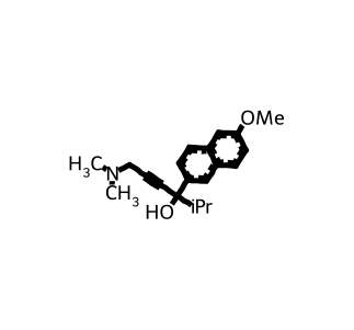 COc1ccc2cc(C(O)(C#CCN(C)C)C(C)C)ccc2c1